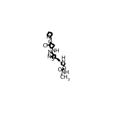 CCNC(=O)O[C@H]1CN[C@@H](C#Cc2cc3c(Nc4ccc(OCc5ccccn5)c(Cl)c4)ncnc3s2)C1